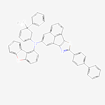 CC1(c2ccccc2)C=CC=C(N(c2cc3c4c(cccc4c2)-c2sc(-c4ccc(-c5ccccc5)cc4)nc2-3)c2cccc3oc4ccccc4c23)C1